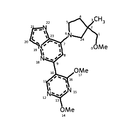 COCC1(C)CCN(c2cc(-c3cnc(OC)nc3OC)nn3ccnc23)C1